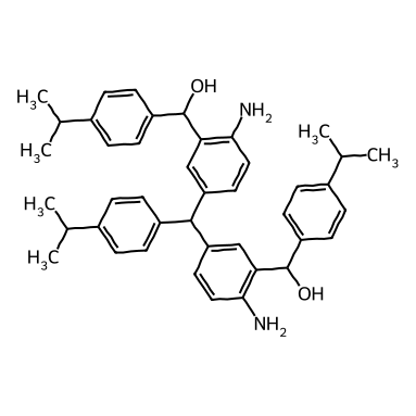 CC(C)c1ccc(C(O)c2cc(C(c3ccc(C(C)C)cc3)c3ccc(N)c(C(O)c4ccc(C(C)C)cc4)c3)ccc2N)cc1